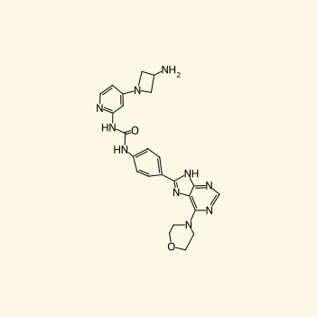 NC1CN(c2ccnc(NC(=O)Nc3ccc(-c4nc5c(N6CCOCC6)ncnc5[nH]4)cc3)c2)C1